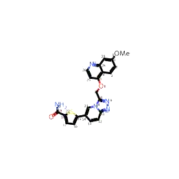 COc1ccc2c(OCc3nnc4ccc(-c5ccc(C(N)=O)s5)cn34)ccnc2c1